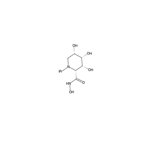 CC(C)N1C[C@H](O)[C@H](O)[C@H](O)[C@@H]1C(=O)NO